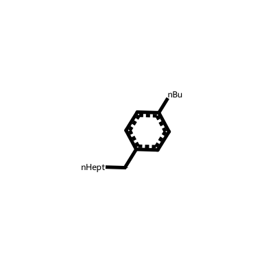 CCCCCCC[CH]c1ccc(CCCC)cc1